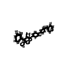 COC(=O)C(NC(=O)c1ccc(-c2ccc(CN3CCOCC3)cc2)cc1)c1ccccc1